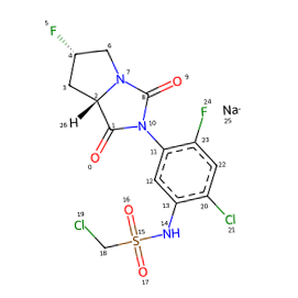 O=C1[C@@H]2C[C@H](F)CN2C(=O)N1c1cc(NS(=O)(=O)CCl)c(Cl)cc1F.[Na]